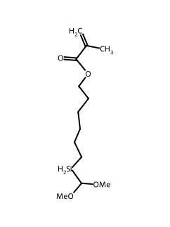 C=C(C)C(=O)OCCCCCC[SiH2]C(OC)OC